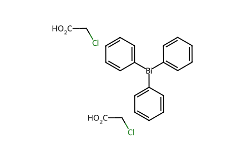 O=C(O)CCl.O=C(O)CCl.c1cc[c]([Bi]([c]2ccccc2)[c]2ccccc2)cc1